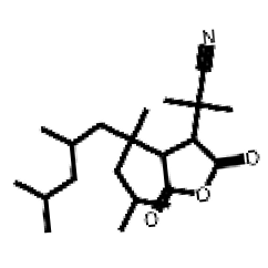 CC(C)CC(C)CC(C)(CC(C)C)C1C(=O)OC(=O)C1C(C)(C)C#N